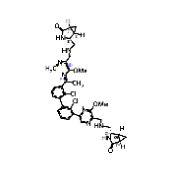 C=N/C(CNC[C@H]1NC(=O)[C@@H]2C[C@H]12)=C(\N=C(/C)c1cccc(-c2cccc(-c3cnc(CNC[C@H]4NC(=O)[C@@H]5C[C@H]45)c(OC)n3)c2Cl)c1Cl)OC